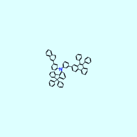 c1ccc(-c2c(-c3ccccc3)c3cc(-c4cccc(N(c5cccc(-c6ccc7ccccc7c6)c5)c5cccc6c5-c5ccccc5C6(c5ccccc5)c5ccccc5)c4)ccc3c3ccccc23)cc1